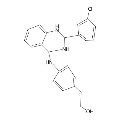 OCCc1ccc(NC2NC(c3cccc(Cl)c3)Nc3ccccc32)cc1